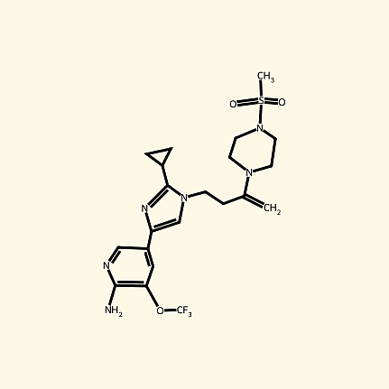 C=C(CCn1cc(-c2cnc(N)c(OC(F)(F)F)c2)nc1C1CC1)N1CCN(S(C)(=O)=O)CC1